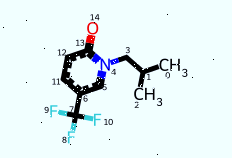 CC(C)Cn1cc(C(F)(F)F)ccc1=O